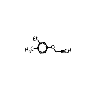 C#CCOc1ccc(C)c(CC)c1